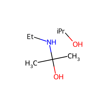 CC(C)O.CCNC(C)(C)O